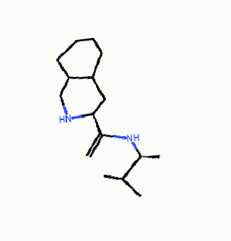 C=C(N[C@@H](C)C(C)C)[C@@H]1CC2CCCCC2CN1